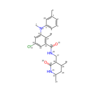 Cc1cccc(N(C)c2cc(Cl)cc(C(=O)NCC3C(=O)NC(C)CC3C)c2C)c1